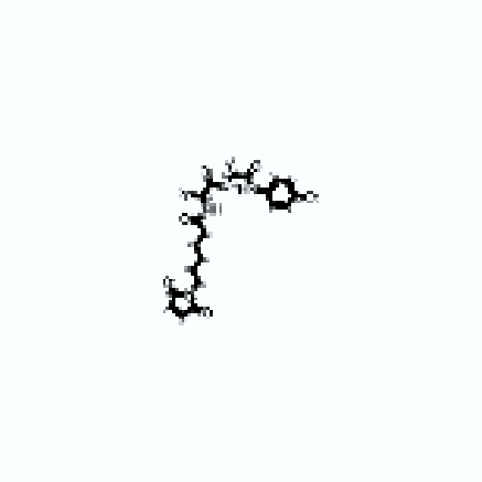 CCc1ccc(NC(=O)[C@H](C)NC(=O)C(NC(=O)CCCCCN2C(=O)C=CC2=O)C(C)C)cc1